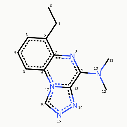 CCc1cccc2c1nc(N(C)C)c1nncn12